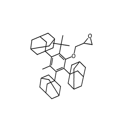 Cc1c(C23CC4CC(CC(C4)C2)C3)c(C(C)(C)C)c(OCC2CO2)c(C23CC4CC(CC(C4)C2)C3)c1C12CC3CC(CC(C3)C1)C2